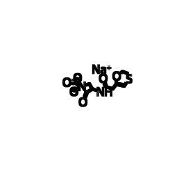 O=C(CC1=CSCCO1)NC1CN(S(=O)(=O)[O-])C1=O.[Na+]